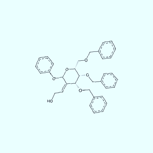 OC/C=C1\C(Oc2ccccc2)O[C@H](COCc2ccccc2)[C@H](OCc2ccccc2)[C@@H]1OCc1ccccc1